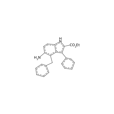 CCOC(=O)c1[nH]c2ccc(N)c(Cc3ccccc3)c2c1-c1ccccc1